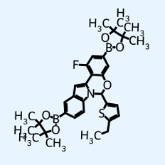 CCc1ccc(C2Oc3cc(B4OC(C)(C)C(C)(C)O4)cc(F)c3-c3cc4cc(B5OC(C)(C)C(C)(C)O5)ccc4n32)s1